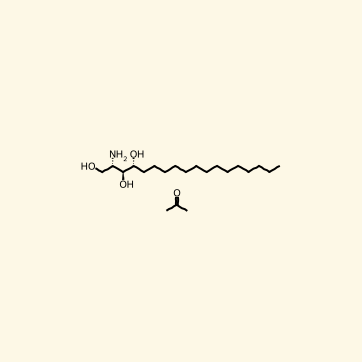 CC(C)=O.CCCCCCCCCCCCCC[C@@H](O)[C@@H](O)[C@@H](N)CO